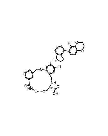 O=C1NCCCC[C@@H](C(=O)O)NCc2cc(Cl)c(C[C@H]3CCc4c(-c5ccc6c(c5F)OCCO6)cccc43)cc2OCc2cncc1c2